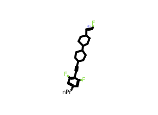 CCCc1cc(F)c(C#CC2CCC(C3CCC(/C=C/F)CC3)CC2)c(F)c1